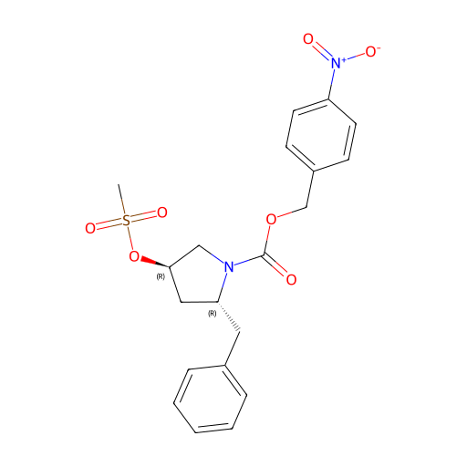 CS(=O)(=O)O[C@@H]1C[C@@H](Cc2ccccc2)N(C(=O)OCc2ccc([N+](=O)[O-])cc2)C1